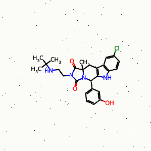 CC(C)(C)NCCN1C(=O)N2C(c3cccc(O)c3)c3[nH]c4ccc(Cl)cc4c3CC2(C)C1=O